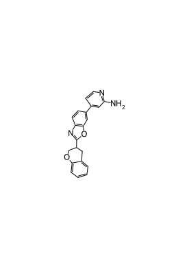 Nc1cc(-c2ccc3nc(C4COc5ccccc5C4)oc3c2)ccn1